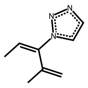 C=C(C)/C(=C\C)n1ccnn1